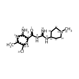 Cc1nc(N)c(C(=O)NC(=N)NC2CCN(C)CC2)nc1Cl